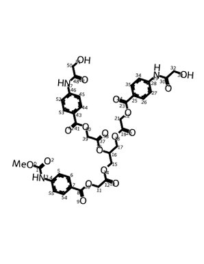 COC(=O)Nc1ccc(C(=O)OCC(=O)OCC(COC(=O)COC(=O)c2ccc(NC(=O)CO)cc2)OC(=O)COC(=O)c2ccc(NC(=O)CO)cc2)cc1